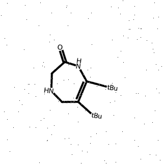 CC(C)(C)C1=C(C(C)(C)C)NC(=O)CNC1